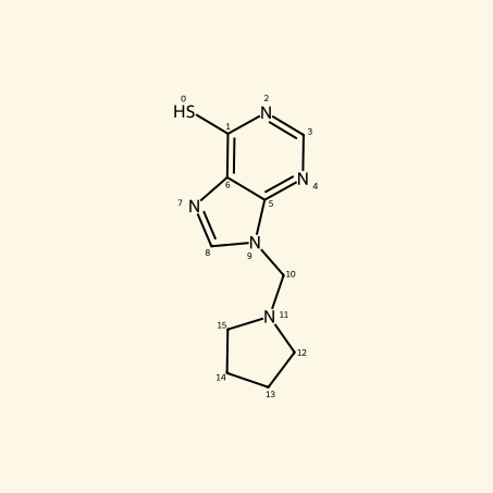 Sc1ncnc2c1ncn2CN1CCCC1